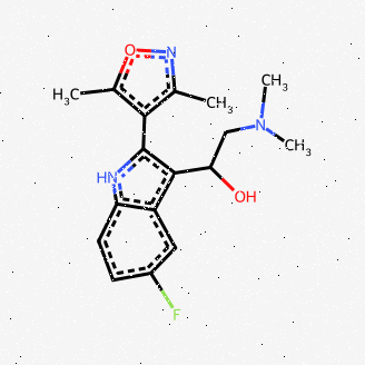 Cc1noc(C)c1-c1[nH]c2ccc(F)cc2c1C(O)CN(C)C